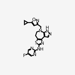 Fc1cnc(Nc2nc3c(s2)CCN(Cc2cc(C4CC4)on2)c2[nH]ncc2-3)nc1